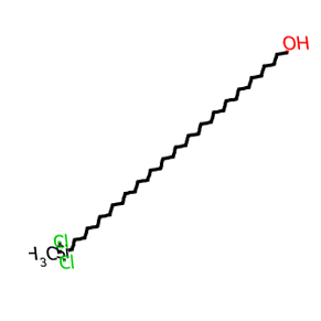 C[Si](Cl)(Cl)CCCCCCCCCCCCCCCCCCCCCCCCCCCCCCCCCCCO